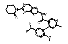 COc1cnc(C(F)F)cc1-c1cc(C)ncc1C(=O)Nc1nc2cnc(N3CCCCC3=O)nc2s1